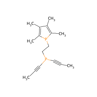 CC#CP(C#CC)CCp1c(C)c(C)c(C)c1C